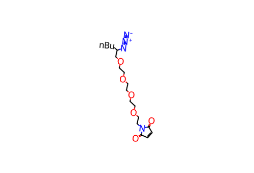 CCCCC(COCCOCCOCCOCCN1C(=O)C=CC1=O)N=[N+]=[N-]